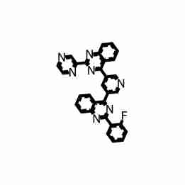 Fc1ccccc1-c1nc(-c2cncc(-c3nc(-c4cnccn4)nc4ccccc34)c2)c2ccccc2n1